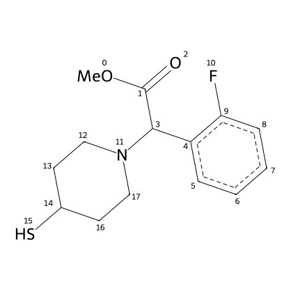 COC(=O)C(c1ccccc1F)N1CCC(S)CC1